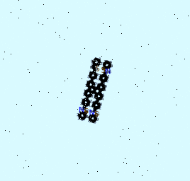 c1ccc2sc(-c3ccc(-c4ccc5c6ccc(-c7ccc(-c8nc9ccccc9s8)cc7)cc6c6c7cc(-c8ccc(-c9nc%10ccccc%10s9)cc8)ccc7c7ccc(-c8ccc(-c9nc%10ccccc%10s9)cc8)cc7c6c5c4)cc3)cc2c1